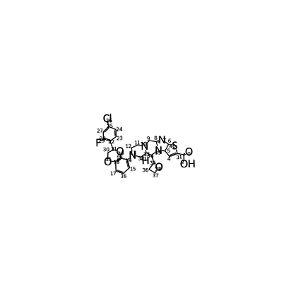 O=C(O)C1=CC2C(N=C3CN4CCN(c5cccc6c5OC(c5ccc(Cl)cc5F)CO6)C[C@@H]4C([C@@H]4CCO4)N32)S1